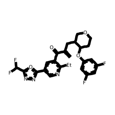 C=C(CC1COCCC1Oc1cc(F)cc(F)c1)C(=O)c1cc(-c2nnc(C(F)F)o2)cnc1CC